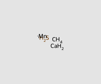 C.S.[CaH2].[Mn]